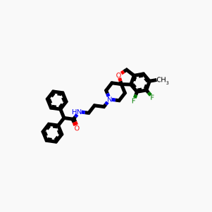 Cc1cc2c(c(F)c1F)C1(CCN(CCCNC(=O)C(c3ccccc3)c3ccccc3)CC1)OC2